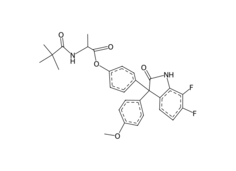 COc1ccc(C2(c3ccc(OC(=O)C(C)NC(=O)C(C)(C)C)cc3)C(=O)Nc3c2ccc(F)c3F)cc1